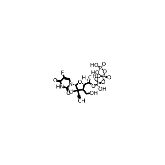 C#CC1(Cl)C(CO)[C@@H]([C@@H](C)OP(=O)(O)OP(=O)(O)OP(=O)(O)O)O[C@H]1n1cc(F)c(=O)[nH]c1=O